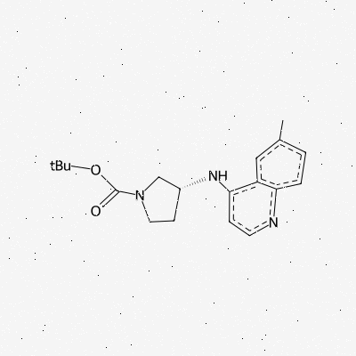 Cc1ccc2nccc(N[C@@H]3CCN(C(=O)OC(C)(C)C)C3)c2c1